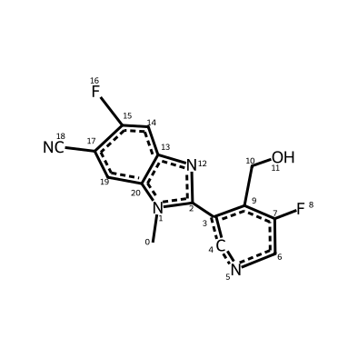 Cn1c(-c2cncc(F)c2CO)nc2cc(F)c(C#N)cc21